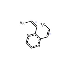 C/C=C\c1nccnc1/C=C\C